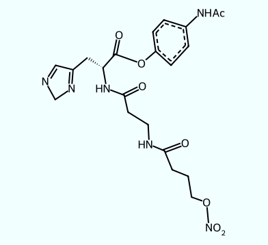 CC(=O)Nc1ccc(OC(=O)[C@@H](CC2=NCN=C2)NC(=O)CCNC(=O)CCCO[N+](=O)[O-])cc1